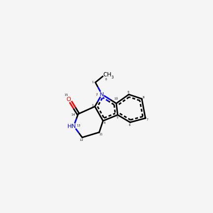 CCn1c2c(c3ccccc31)CCNC2=O